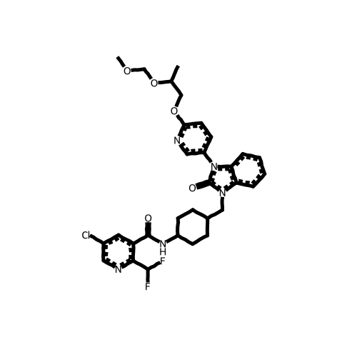 COCOC(C)COc1ccc(-n2c(=O)n(CC3CCC(NC(=O)c4cc(Cl)cnc4C(F)F)CC3)c3ccccc32)cn1